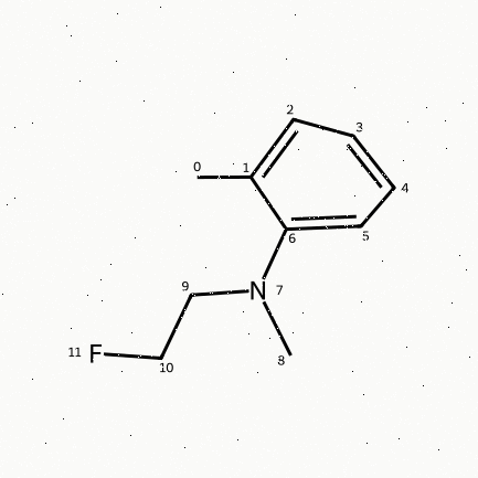 Cc1ccccc1N(C)CCF